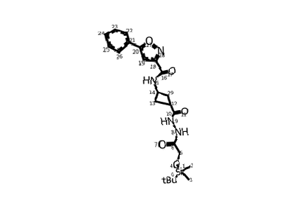 CC(C)(C)[Si](C)(C)OCC(=O)NNC(=O)C1CC(NC(=O)c2cc(-c3ccccc3)on2)C1